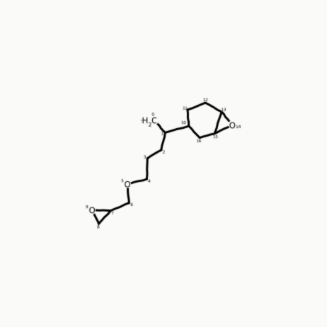 [CH2]C(CCCOCC1CO1)C1CCC2OC2C1